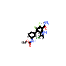 Cc1[nH]c2c(C(N)=O)c(F)c(F)c(C3CCCC(NC(=O)OC(C)(C)C)C3)c2c1Cl